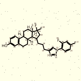 C[C@]12CC[C@@H]3c4ccc(O)cc4CC[C@H]3[C@@H]1C(CCCc1cn(-c3ccc(F)cc3F)nn1)CC2(F)F